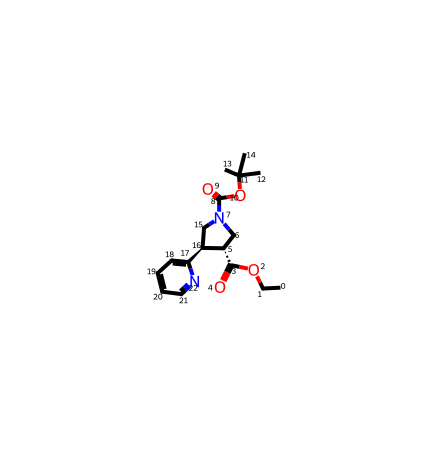 CCOC(=O)[C@H]1CN(C(=O)OC(C)(C)C)C[C@@H]1c1ccccn1